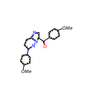 COc1ccc(C(=O)c2cnc3ccc(-c4ccc(OC)cc4)nn23)cc1